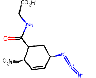 [N-]=[N+]=N[C@H]1C=C[C@@H]([N+](=O)[O-])C(C(=O)NCC(=O)O)C1